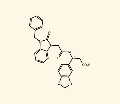 O=C(O)C[C@H](NC(=O)Cn1c(=O)n(Cc2ccccc2)c2ccccc21)c1ccc2c(c1)OCO2